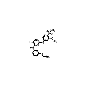 COc1cc(Nc2ncc(F)c(Nc3cccc(OCC#N)c3)n2)ccc1S(N)(=O)=O